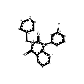 O=c1c2cccnc2n(-c2cccc(F)c2)c(=O)n1Cc1ccncc1